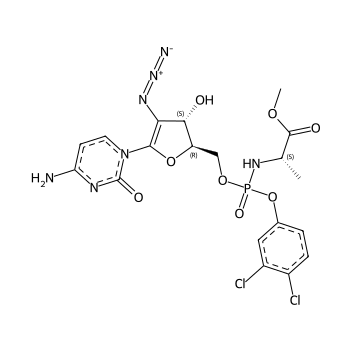 COC(=O)[C@H](C)NP(=O)(OC[C@H]1OC(n2ccc(N)nc2=O)=C(N=[N+]=[N-])[C@@H]1O)Oc1ccc(Cl)c(Cl)c1